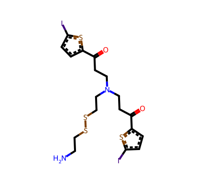 NCCSSCCN(CCC(=O)c1ccc(I)s1)CCC(=O)c1ccc(I)s1